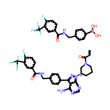 C=CC(=O)N1CCC[C@@H](n2nc(-c3ccc(CNC(=O)c4ccc(F)c(C(F)(F)F)c4)cc3)c3c(N)ncnc32)C1.O=C(NCc1ccc(B(O)O)cc1)c1ccc(F)c(C(F)(F)F)c1